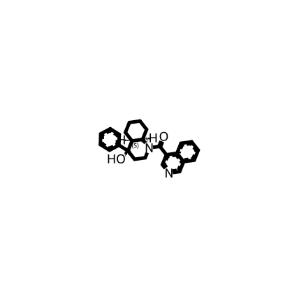 O=C(c1cncc2ccccc12)N1CC[C@](O)(c2ccccc2)[C@H]2CCCC[C@H]21